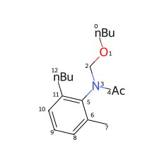 CCCCOCN(C(C)=O)c1c(C)cccc1CCCC